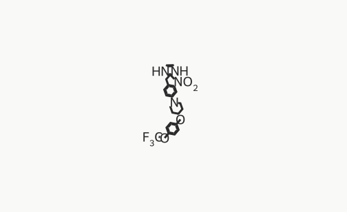 CC1(Cc2ccc(N3CCC(Oc4ccc(OC(F)(F)F)cc4)CC3)cc2[N+](=O)[O-])NC=CN1